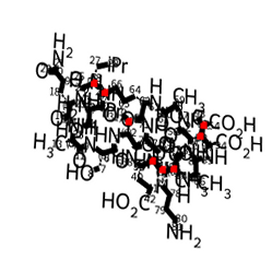 CC(C)C[C@H](NC(=O)[C@H](CO)NC(=O)[C@H](C)NC(=O)[C@H](CCC(N)=O)NC(=O)[C@H](CC(C)C)NC(=O)[C@@H](N)CO)C(=O)N[C@@H](CCC(=O)O)C(=O)N[C@@H](C)C(=O)N[C@@H](CCC(=O)O)C(=O)N[C@@H](C)C(=O)N[C@@H](CCCCN)C(=O)NCC(=O)N[C@@H](CCCCN)C(=O)N[C@@H](C)C(=O)N[C@@H](CCC(=O)O)C(=O)O